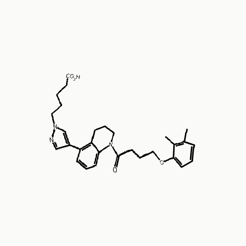 Cc1cccc(OCCCC(=O)N2CCCc3c(-c4cnn(CCCCC(=O)O)c4)cccc32)c1C